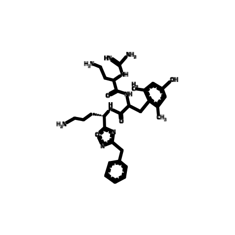 Cc1cc(O)cc(C)c1CC(NC(=O)C(CCN)NC(=N)N)C(=O)N[C@@H](CCCN)c1nc(Cc2ccccc2)no1